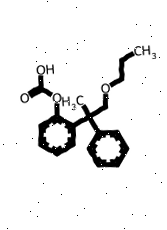 CCCOCC(C)(c1ccccc1)c1ccccc1OC(=O)O